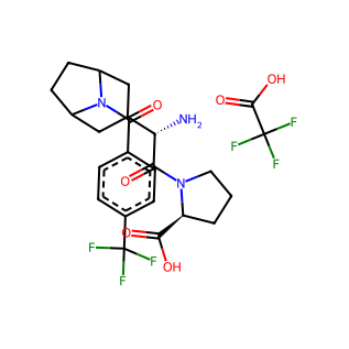 N[C@H](C(=O)N1CCC[C@H]1C(=O)O)C1CC2CCC(C1)N2C(=O)c1ccc(C(F)(F)F)cc1.O=C(O)C(F)(F)F